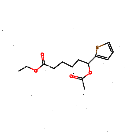 CCOC(=O)CCCCC(OC(C)=O)c1cccs1